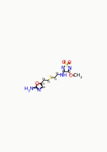 COC1=NS(=O)(=O)N=C1NCCSCCc1cnc(N)o1